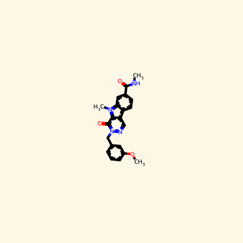 CNC(=O)c1ccc2c3cnn(Cc4cccc(OC)c4)c(=O)c3n(C)c2c1